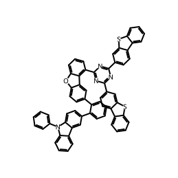 c1ccc(-n2c3ccccc3c3cc(-c4ccccc4-c4ccc5oc6cccc(-c7nc(-c8ccc9c(c8)sc8ccccc89)nc(-c8ccc9c(c8)sc8ccccc89)n7)c6c5c4)ccc32)cc1